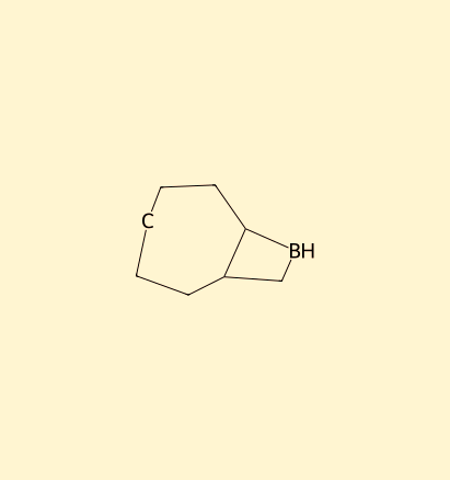 B1CC2CCCCCC12